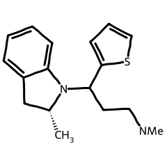 CNCCC(c1cccs1)N1c2ccccc2C[C@H]1C